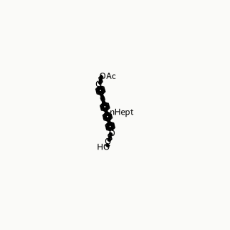 CCCCCCCc1cc(-c2ccc(OCCOCO)cc2)ccc1-c1ccc(C#Cc2ccc(OCCOC(C)=O)cc2)cc1